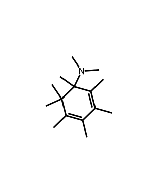 CC1=C(C)C(C)(C)C(C)(N(C)C)C(C)=C1C